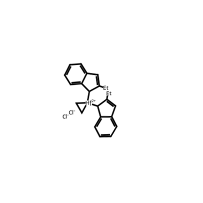 CCC1=Cc2ccccc2[CH]1[Hf+2]1([CH]2C(CC)=Cc3ccccc32)[CH2][CH2]1.[Cl-].[Cl-]